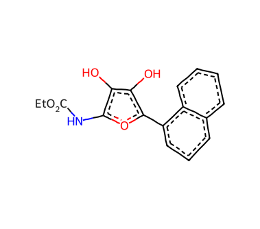 CCOC(=O)Nc1oc(-c2cccc3ccccc23)c(O)c1O